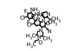 C=CC(=O)N1[C@H](C)CN(c2c(C#N)c(=O)n(-c3c(C)ccnc3C(C)C)c3nc(-c4c(N)c(N)c(F)c(Cl)c4F)c(Cl)cc23)C[C@@H]1C